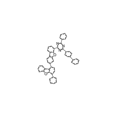 c1ccc(-c2ccc(-c3nc(-c4ccccc4)nc(-c4cccc5c4oc4cc(-c6ccc(-c7ccccc7)c7oc8ccccc8c67)ccc45)n3)cc2)cc1